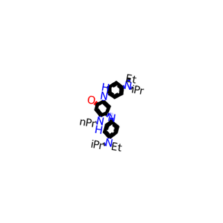 CCCNC1=CC(=O)C(Nc2ccc(N(CC)C(C)C)cc2)=C/C1=N/c1ccc(N(CC)C(C)C)cc1